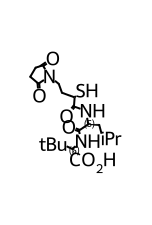 CC(C)C[C@H](NC(=O)C(S)CCN1C(=O)CCC1=O)C(=O)N[C@H](C(=O)O)C(C)(C)C